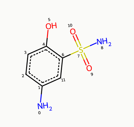 Nc1ccc(O)c(S(N)(=O)=O)c1